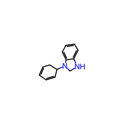 C1=CCC(N2CNc3ccccc32)C=C1